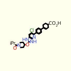 CC(C)C(=O)N1CCC(OC2Nc3cc(Cl)c(-c4ccc(C5=CCC(C(=O)O)CC5)cc4)nc3N2)CC1